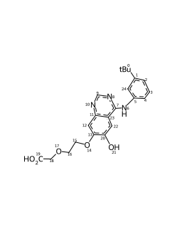 CC(C)(C)c1cccc(Nc2ncnc3cc(OCCOCC(=O)O)c(O)cc23)c1